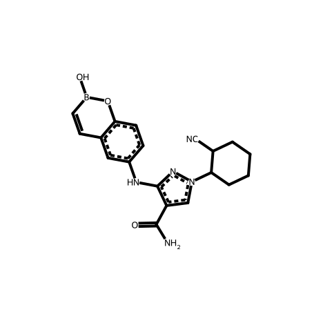 N#CC1CCCCC1n1cc(C(N)=O)c(Nc2ccc3c(c2)C=CB(O)O3)n1